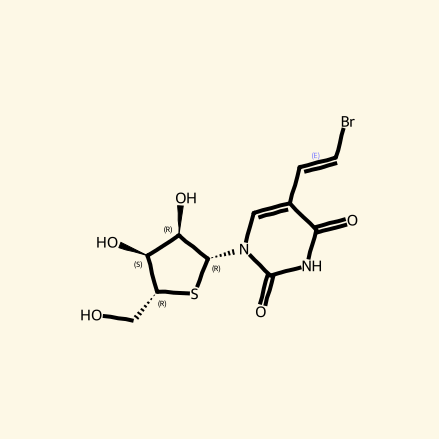 O=c1[nH]c(=O)n([C@@H]2S[C@H](CO)[C@@H](O)[C@H]2O)cc1/C=C/Br